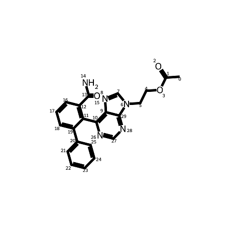 CC(=O)OCCn1cnc2c(-c3c(C(N)=O)cccc3-c3ccccc3)ncnc21